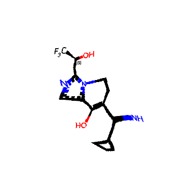 N=C(C1=C(O)c2cnc([C@H](O)C(F)(F)F)n2CC1)C1CC1